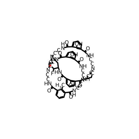 Cc1c2cccc1C(=O)NCCN1CCNC(=O)c3cccc(c3O)C(=O)NCCN(CCNC2=O)CCN2CCNC(=O)c3cccc(c3O)C(=O)NCCN(CC1)CC(C(F)F)NC(=O)c1cccc(c1O)C(=O)NCC2